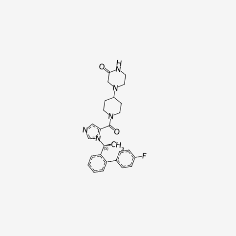 C[C@@H](c1ccccc1-c1ccc(F)cc1)n1cncc1C(=O)N1CCC(N2CCNC(=O)C2)CC1